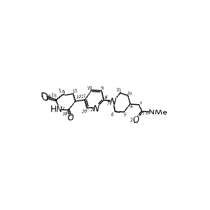 CNC(=O)CC1CCN(c2ccc(C3CCC(=O)NC3=O)cn2)CC1